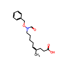 CC(=CCCCCN(C=O)OCc1ccccc1)CCC(=O)O